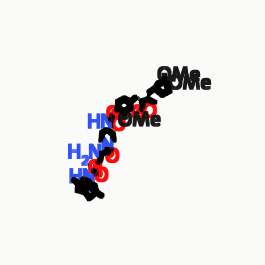 COc1ccc(C[C@H]2COC(=O)[C@@H]2Cc2ccc(OC(=O)NC3CCN(C(=O)[C@@H](N)COC(=O)NC45CC6CC(C)(CC(C)(C6)C4)C5)CC3)c(OC)c2)cc1OC